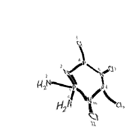 NP1(N)=NP(Cl)N(Cl)P(Cl)N1Cl